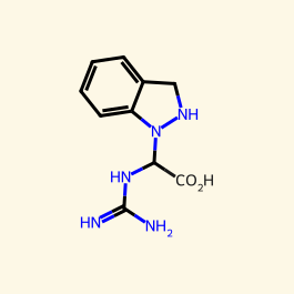 N=C(N)NC(C(=O)O)N1NCc2ccccc21